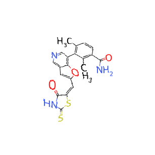 Cc1ccc(C(N)=O)c(C)c1-c1cncc2cc(C=C3SC(=S)NC3=O)oc12